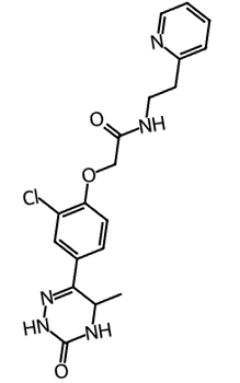 CC1NC(=O)NN=C1c1ccc(OCC(=O)NCCc2ccccn2)c(Cl)c1